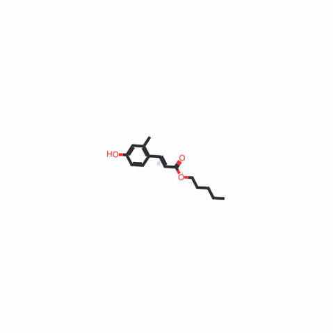 CCCCCOC(=O)/C=C/c1ccc(O)cc1C